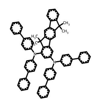 CC1(C)c2ccccc2-c2cc3c(cc21)-c1cc(N(c2ccc(-c4ccccc4)cc2)c2ccc(-c4ccccc4)cc2)cc(N(c2ccc(-c4ccccc4)cc2)c2ccc(-c4ccccc4)cc2)c1C3(C)C